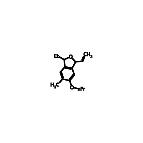 C=CC1OC(CC)c2cc(C)c(OCCC)cc21